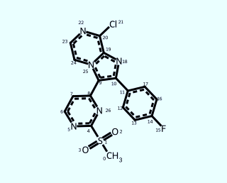 CS(=O)(=O)c1nccc(-c2c(-c3ccc(F)cc3)nc3c(Cl)nccn23)n1